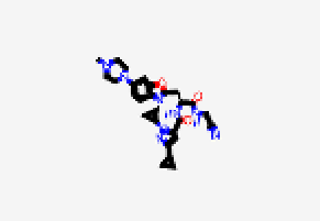 CN1CCN(c2ccc3nc(C[C@H](NC(=O)c4cc(C5CC5)nn4C4CC4)C(=O)NCC#N)oc3c2)CC1